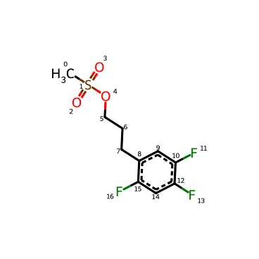 CS(=O)(=O)OCCCc1cc(F)c(F)cc1F